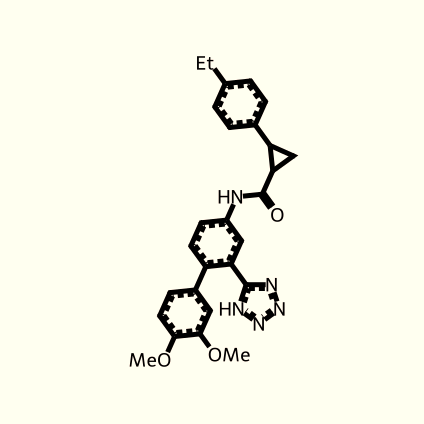 CCc1ccc(C2CC2C(=O)Nc2ccc(-c3ccc(OC)c(OC)c3)c(-c3nnn[nH]3)c2)cc1